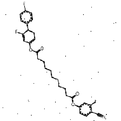 N#Cc1ccc(OC(=O)CCCCCCCCCC(=O)OC2=CCC(c3ccc(F)cc3)C(F)=C2)cc1F